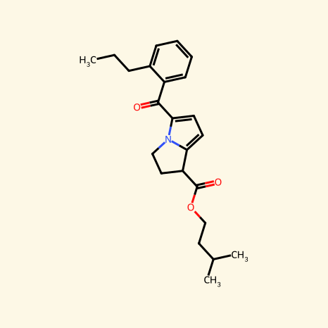 CCCc1ccccc1C(=O)c1ccc2n1CCC2C(=O)OCCC(C)C